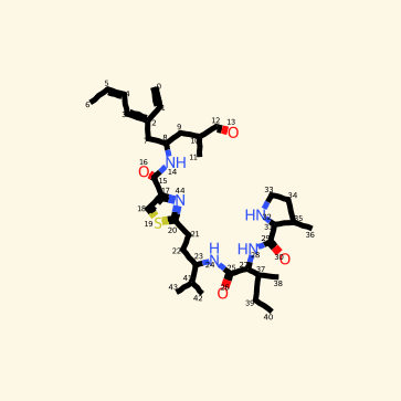 C=C/C(=C\C=C/C)CC(CC(C)C=O)NC(=O)c1csc(CCC(NC(=O)C(NC(=O)C2NCCC2C)C(C)CC)C(C)C)n1